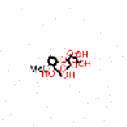 COc1ccccc1C(O)C(CO)OCC1O[C@H](O)C(O)C(O)[C@@H]1O